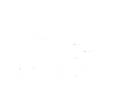 CCCOc1cc(OCC)c(N)c2c1-c1c(OCCN3CCOCC3)cccc1C2=O